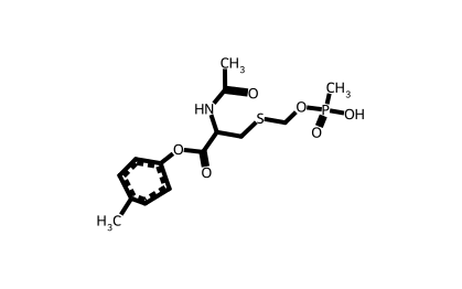 CC(=O)NC(CSCOP(C)(=O)O)C(=O)Oc1ccc(C)cc1